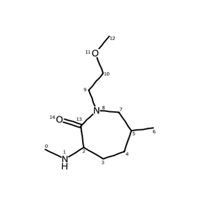 CNC1CCC(C)CN(CCOC)C1=O